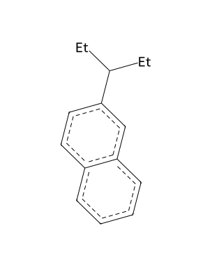 CCC(CC)c1ccc2ccccc2c1